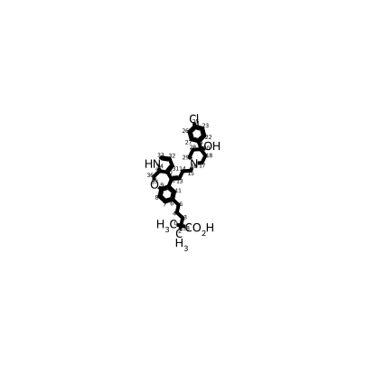 CC(C)(CCCc1ccc2c(c1)/C(=C/CCN1CCC(O)(c3ccc(Cl)cc3)CC1)C1=CC=CNC1CO2)C(=O)O